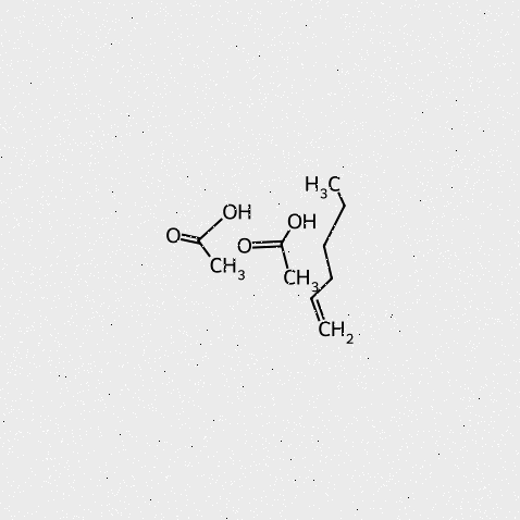 C=CCCCC.CC(=O)O.CC(=O)O